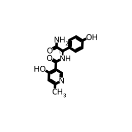 Cc1cc(O)c(C(=O)N[C@@H](C(N)=O)c2ccc(O)cc2)cn1